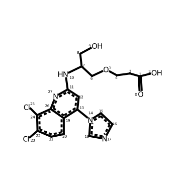 O=C(O)CCOCC(CO)Nc1cc(-n2ccnc2)c2ccc(Cl)c(Cl)c2n1